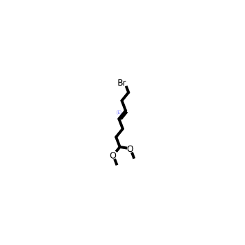 COC(CC/C=C/CCBr)OC